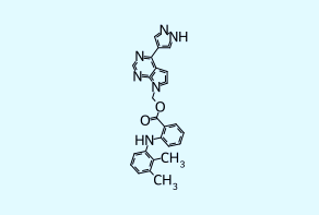 Cc1cccc(Nc2ccccc2C(=O)OCn2ccc3c(-c4cn[nH]c4)ncnc32)c1C